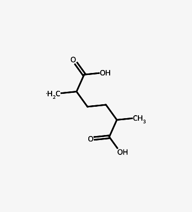 [CH2]C(CCC(C)C(=O)O)C(=O)O